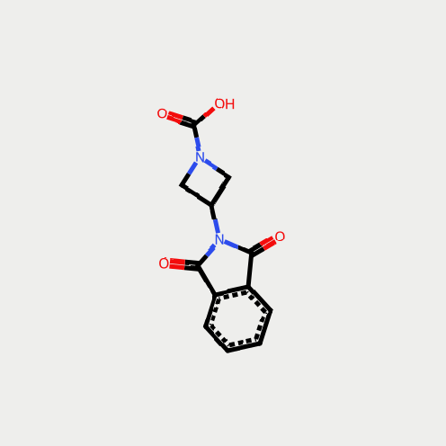 O=C(O)N1CC(N2C(=O)c3ccccc3C2=O)C1